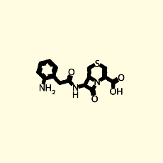 Nc1ccccc1CC(=O)NC1C(=O)N2C(C(=O)O)=CSCC12